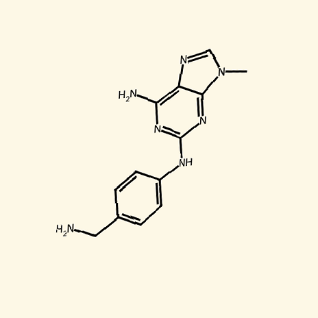 Cn1cnc2c(N)nc(Nc3ccc(CN)cc3)nc21